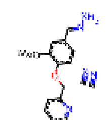 C#N.C#N.COc1cc(C=NN)ccc1OCc1ccccn1